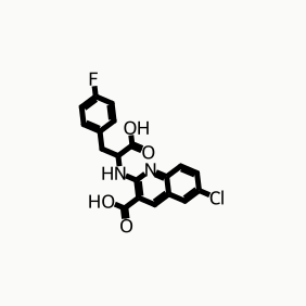 O=C(O)c1cc2cc(Cl)ccc2nc1NC(Cc1ccc(F)cc1)C(=O)O